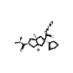 CN(C)C(=O)N1C[C@@H]2C[C@@](C(=O)N=[N+]=[N-])(C3CCCC3)C[C@@H]2C1